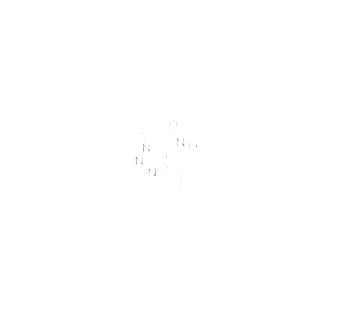 CCCn1nnc(CC(C)C)c1[N+](=O)[O-]